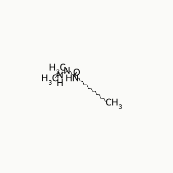 CCCCCCCCCCCCCCCNC(=O)CCN(CC)CCNCC